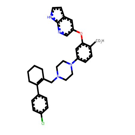 O=C(O)c1ccc(N2CCN(CC3=C(c4ccc(Cl)cc4)CCCC3)CC2)cc1Oc1cnc2[nH]ccc2c1